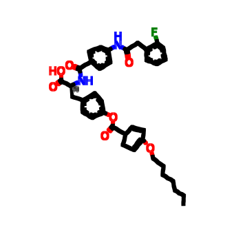 CCCCCCCOC1=CCC(C(=O)Oc2ccc(C[C@H](NC(=O)c3ccc(NC(=O)Cc4ccccc4F)cc3)C(=O)O)cc2)C=C1